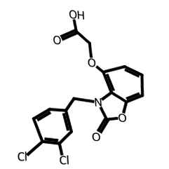 O=C(O)COc1cccc2oc(=O)n(Cc3ccc(Cl)c(Cl)c3)c12